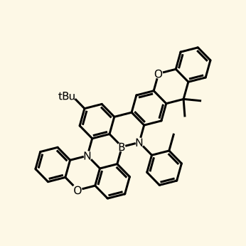 Cc1ccccc1N1B2c3cccc4c3N(c3ccccc3O4)c3cc(C(C)(C)C)cc(c32)-c2cc3c(cc21)C(C)(C)c1ccccc1O3